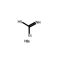 Br.CCC(=N)S